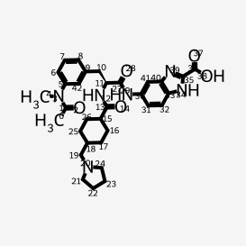 CC(=O)N(C)c1cccc(C[C@H](NC(=O)C2CCC(CN3CCCC3)CC2)C(=O)Nc2ccc3[nH]c(C(=O)O)nc3c2)c1